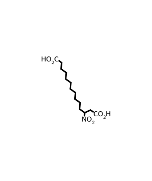 O=C(O)CCCCCCCCCCC(CC(=O)O)[N+](=O)[O-]